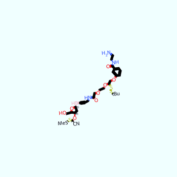 CSS[C@@H](C#N)O[C@@H]1C[C@H](BC#CCNC(=O)COCCOC(COc2cccc(C(=O)NCCN)c2)SSC(C)(C)C)OC1CO